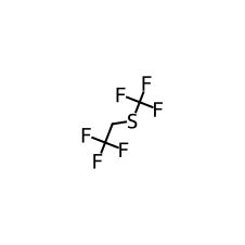 FC(F)(F)CSC(F)(F)F